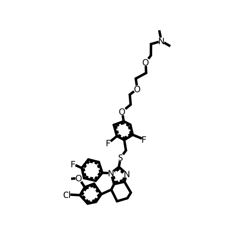 COc1cc(C2CCCc3nc(SCc4c(F)cc(OCCOCCOCCN(C)C)cc4F)n(-c4ccc(F)cc4)c32)ccc1Cl